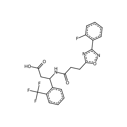 O=C(O)CC(NC(=O)CCc1nc(-c2ccccc2F)no1)c1ccccc1C(F)(F)F